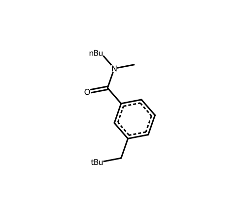 CCCCN(C)C(=O)c1cccc(CC(C)(C)C)c1